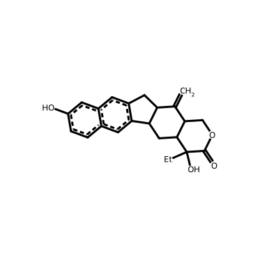 C=C1C2Cc3cc4cc(O)ccc4cc3C2CC2C1COC(=O)C2(O)CC